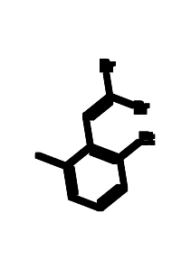 CCc1cccc(C)c1C=C(Br)Br